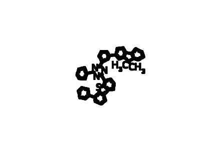 CC1(C)c2ccccc2-c2ccc(-c3cccc(-c4nc(-c5ccccc5)nc(-c5cccc6c5sc5c(-c7ccccc7)cccc56)n4)c3)cc21